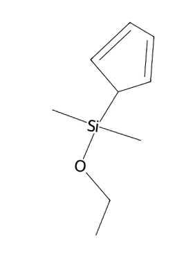 CCO[Si](C)(C)C1C=CC=C1